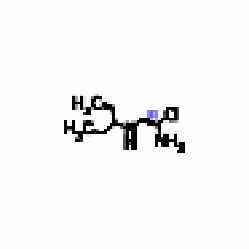 C=CC(CC)N/C=C(\N)Cl